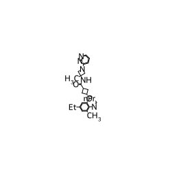 CCC/C=N\c1c(C)cc(CC)cc1OC1CC(C(=O)NC2(C)CN(c3cccnn3)C2)C1